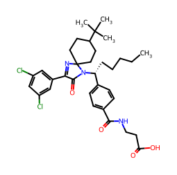 CCCCC[C@H](c1ccc(C(=O)NCCC(=O)O)cc1)N1C(=O)C(c2cc(Cl)cc(Cl)c2)=NC12CCC(C(C)(C)C)CC2